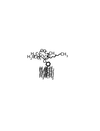 C=C.C=C.C=C.C=C.C=C.C=C.C=C.C=C.CCCCCCCCCC(COC(=O)C(C)=C=O)(OC(=O)C(C)=C=O)Oc1ccccc1